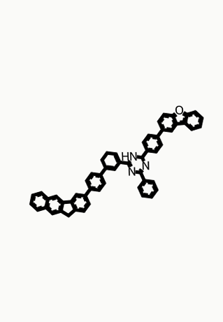 C1=C(C2=NC(c3ccccc3)=NC(c3ccc(-c4ccc5oc6ccccc6c5c4)cc3)N2)C=C(c2ccc(-c3ccc4c(c3)-c3cc5ccccc5cc3C4)cc2)CC1